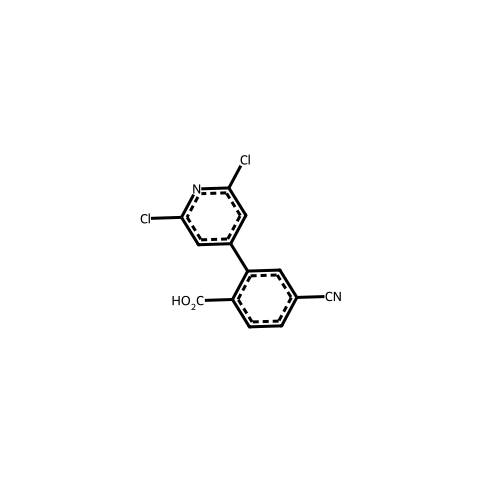 N#Cc1ccc(C(=O)O)c(-c2cc(Cl)nc(Cl)c2)c1